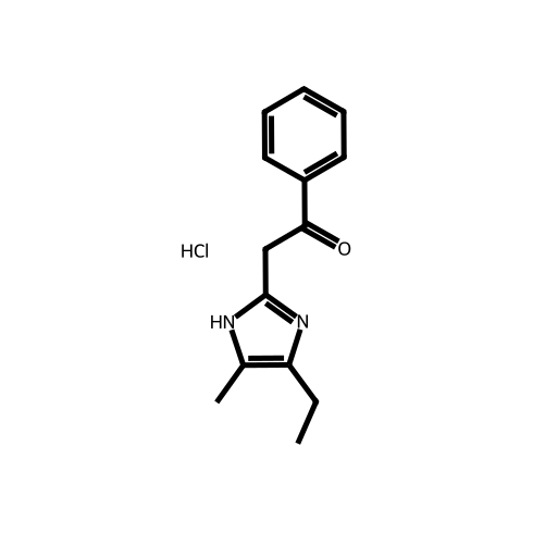 CCc1nc(CC(=O)c2ccccc2)[nH]c1C.Cl